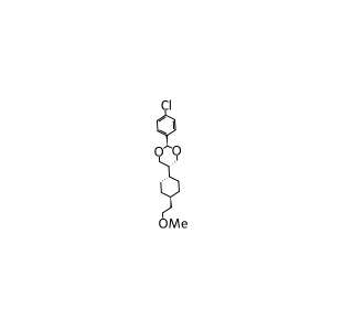 COCC[C@H]1CC[C@H]([C@H]2CO[C@H](c3ccc(Cl)cc3)OC2)CC1